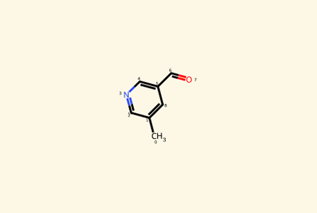 Cc1[c]ncc(C=O)c1